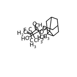 C=C(C)C(=O)OC12CC3CC(C1)C(C)(OC(C)(C)C(O)(C(F)(F)F)C(F)(F)F)C(C3)C2